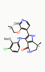 COc1c(Cl)cccc1Nc1c(-c2ccncc2OC[C@H](C)OC)[nH]c2c1C(=O)NC[C@@H]2C